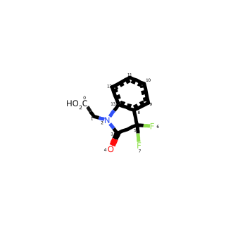 O=C(O)CN1C(=O)C(F)(F)c2ccccc21